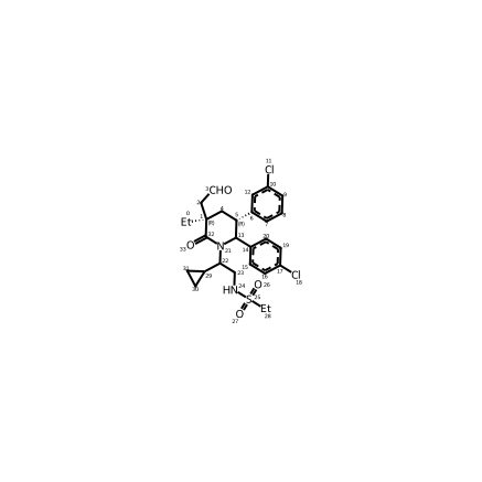 CC[C@]1(CC=O)C[C@H](c2cccc(Cl)c2)C(c2ccc(Cl)cc2)N(C(CNS(=O)(=O)CC)C2CC2)C1=O